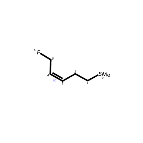 CSCC/C=C\CF